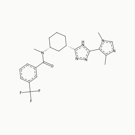 Cc1ncn(C)c1-c1nnc([C@H]2CCC[C@@H](N(C)C(=O)c3cccc(C(F)(F)F)c3)C2)[nH]1